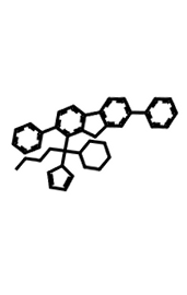 CCCCC(c1c(-c2ccccc2)ccc2c1Cc1cc(-c3ccccc3)ccc1-2)(C1C=CC=C1)C1CCCCC1